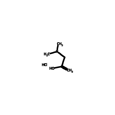 C=C(O)CN(C)C.Cl